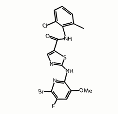 COc1cc(F)c(Br)nc1Nc1ncc(C(=O)Nc2c(C)cccc2Cl)s1